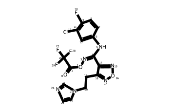 O=C(ON=C(Nc1ccc(F)c(Cl)c1)c1nonc1CCn1ccnc1)C(F)(F)F